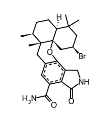 C[C@H]1CC[C@H]2C(C)(C)C[C@@H](Br)C[C@]23Oc2c(cc(C(N)=O)c4c2CNC4=O)C[C@]13C